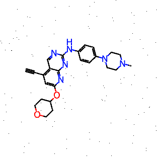 C#Cc1cc(OC2CCOCC2)nc2nc(Nc3ccc(N4CCN(C)CC4)cc3)ncc12